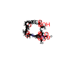 COC(=O)/C=C1\CC2CC([C@@H](C)O)OC(=O)CCC[C@@H]3CCC[C@H](C[C@@H]4CCO[C@H](/C=C/[C@H](C)[C@](O)(O2)[C@H]1OC(C)=O)O4)O3